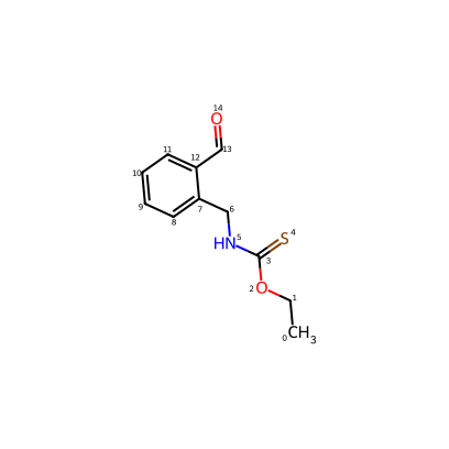 CCOC(=S)NCc1ccccc1C=O